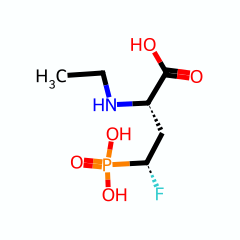 CCN[C@@H](C[C@H](F)P(=O)(O)O)C(=O)O